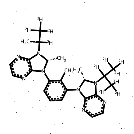 [2H]C([2H])([2H])C([2H])(C)N1c2nccnc2N(c2cccc(N3c4nccnc4N(C([2H])(C([2H])([2H])[2H])C([2H])([2H])[2H])[C@H]3C)c2C)[C@H]1C